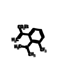 C=C(C(=O)OCC)c1cccc(C(F)(F)F)c1N(C)C